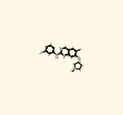 Cc1cc2cnc(Nc3cccc(F)c3)nc2cc1O[C@@H]1CCN(C)C1